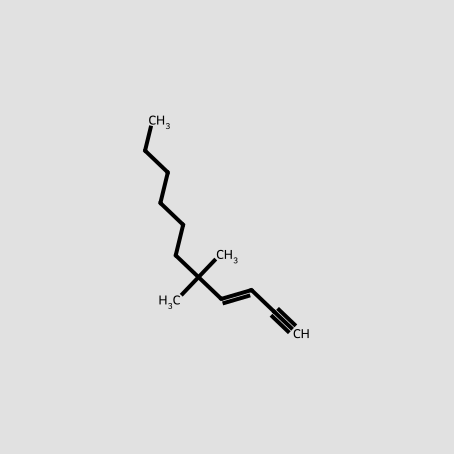 C#CC=CC(C)(C)CCCCCC